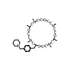 CC1CN(C)CCOCCN(C)CCOC(C)CN(C)CCOC(Cc2ccc(CN3CCCCC3)cc2)CN(C)CCO1